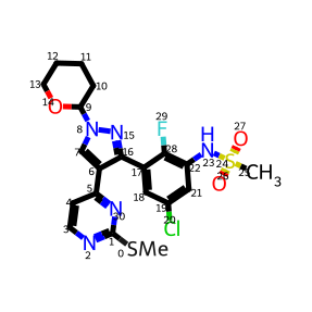 CSc1nccc(-c2cn(C3CCCCO3)nc2-c2cc(Cl)cc(NS(C)(=O)=O)c2F)n1